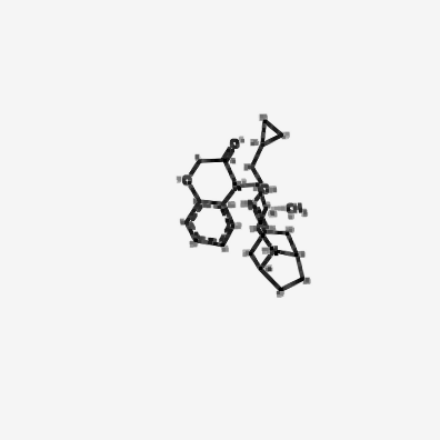 C[C@@H](CN1C(=O)COc2ccccc21)CN1C2CCC1CC(=NOCC1CC1)C2